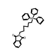 O=C1c2ccccc2C(=O)N1CCCCCC[PH](c1ccccc1)(c1ccccc1)c1ccccc1